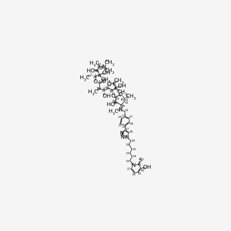 CC[C@@H](OC(=O)[C@H](C)[C@@H](O)[C@H](C)[C@@H](O[C@@H]1O[C@H](C)C[C@H](N(C)Cc2ccc(-c3cn(CCCCCCn4cccc(O)c4=S)nn3)cc2)[C@H]1O)[C@](C)(O)CC)[C@@](C)(O)[C@H](O)[C@@H](C)N(C)C